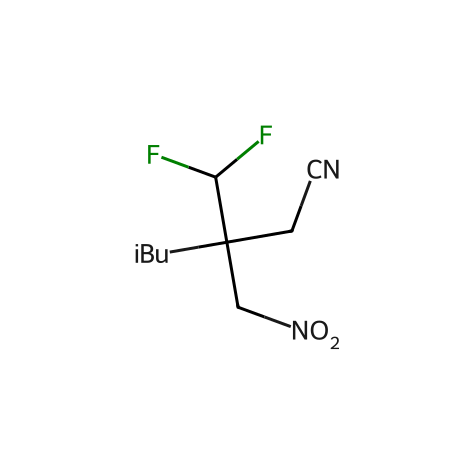 CCC(C)C(CC#N)(C[N+](=O)[O-])C(F)F